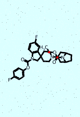 CCOC(=O)N1C2CCC1CC(N1CCC3(CC1)CN(C(=O)Oc1ccc(F)cc1)c1ccc(F)cc13)C2